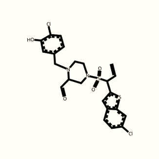 C=CC(c1cc2ccc(Cl)cc2s1)S(=O)(=O)N1CCN(Cc2ccc(Cl)c(O)c2)C(C=O)C1